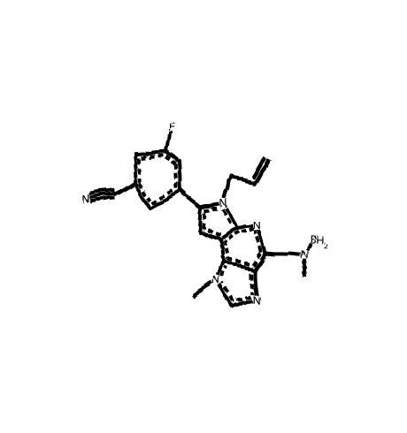 BN(C)c1nc2c(cc(-c3cc(F)cc(C#N)c3)n2CC=C)c2c1ncn2C